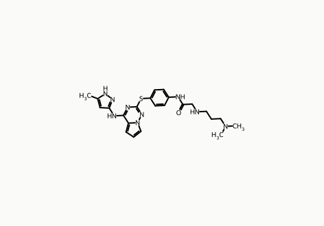 Cc1cc(Nc2nc(Sc3ccc(NC(=O)CNCCCN(C)C)cc3)nn3cccc23)n[nH]1